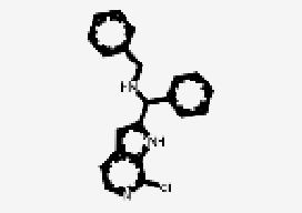 Clc1nccc2cc(C(NCc3ccccc3)c3ccccc3)[nH]c12